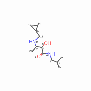 CC(C)CNC(=O)C(O)C(C)NCC1CC1